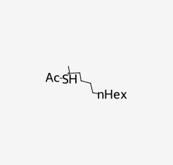 CCCCCCCCCCC(C)=[SH]C(C)=O